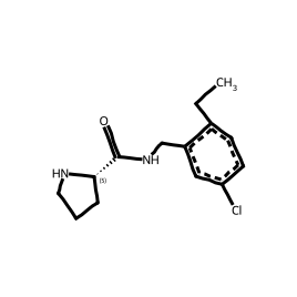 CCc1ccc(Cl)cc1CNC(=O)[C@@H]1CCCN1